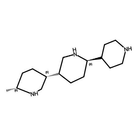 C[C@@H]1CC[C@H](C2CC[C@H](C3CCNCC3)NC2)CN1